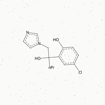 CCCC(O)(Cn1ccnc1)c1cc(Cl)ccc1O